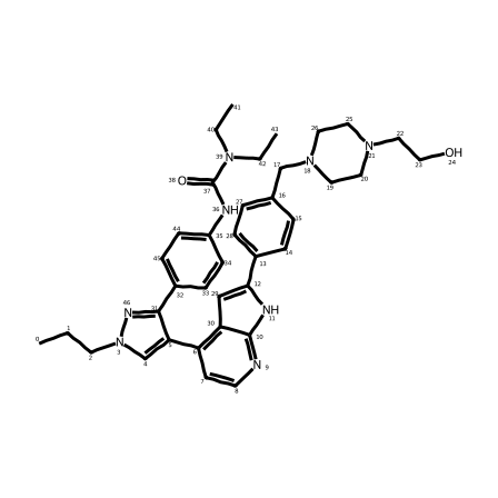 CCCn1cc(-c2ccnc3[nH]c(-c4ccc(CN5CCN(CCO)CC5)cc4)cc23)c(-c2ccc(NC(=O)N(CC)CC)cc2)n1